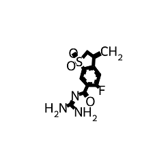 C=C1CS(=O)(=O)c2cc(C(=O)N=C(N)N)c(F)cc21